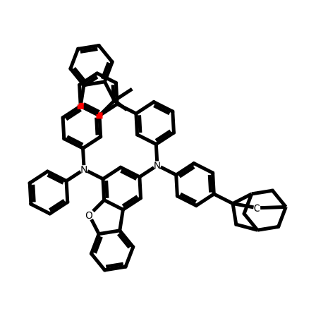 CC1(C)c2ccccc2-c2ccc(N(c3ccccc3)c3cc(N(c4ccc(C56CC7CC(CC5C7)C6)cc4)c4cccc(-c5ccccc5)c4)cc4c3oc3ccccc34)cc21